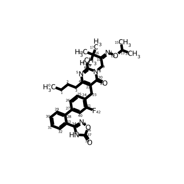 CCCCc1nc(C)n(C/C(=N\OC(C)C)C(C)(C)C)c(=O)c1Cc1ccc(-c2ccccc2-c2noc(=O)[nH]2)cc1F